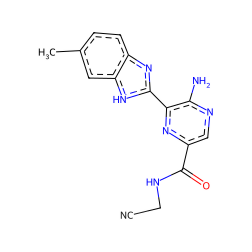 Cc1ccc2nc(-c3nc(C(=O)NCC#N)cnc3N)[nH]c2c1